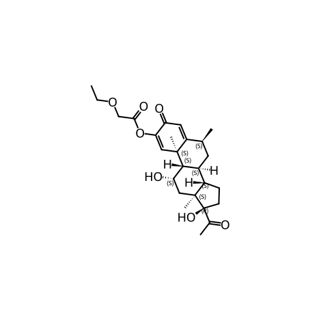 CCOCC(=O)OC1=C[C@@]2(C)C(=CC1=O)[C@@H](C)C[C@@H]1[C@@H]2[C@@H](O)C[C@@]2(C)[C@H]1CC[C@]2(O)C(C)=O